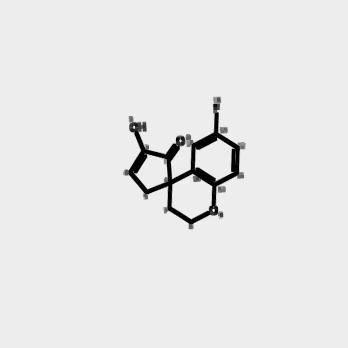 O=C1C(O)=CCC12CCOc1ccc(F)cc12